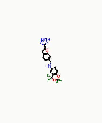 FC1(F)Oc2ccc(NCc3ccc4cc(-c5nn[nH]n5)oc4c3)cc2C(F)(F)O1